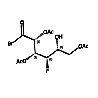 CC(=O)OC[C@@H](O)[C@@H](F)[C@H](OC(C)=O)[C@@H](OC(C)=O)C(=O)Br